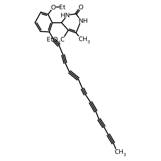 CC#CC#CC#CC#CC#CC#CC#Cc1cccc(OCC)c1C1NC(=O)NC(C)=C1C(=O)OCC